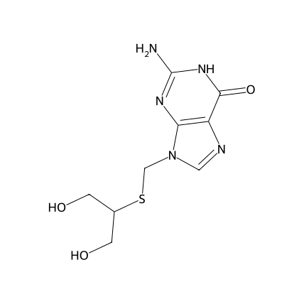 Nc1nc2c(ncn2CSC(CO)CO)c(=O)[nH]1